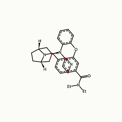 CCN(CC)C(=O)c1ccc2c(c1)Oc1ccccc1N2[C@@H]1C[C@H]2CC[C@@H](C1)N2Cc1cccnc1